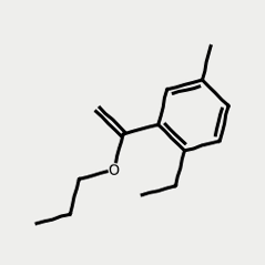 C=C(OCCC)c1cc(C)ccc1CC